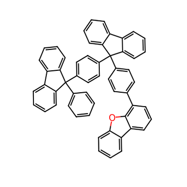 c1ccc(C2(c3ccc(C4(c5ccc(-c6cccc7c6oc6ccccc67)cc5)c5ccccc5-c5ccccc54)cc3)c3ccccc3-c3ccccc32)cc1